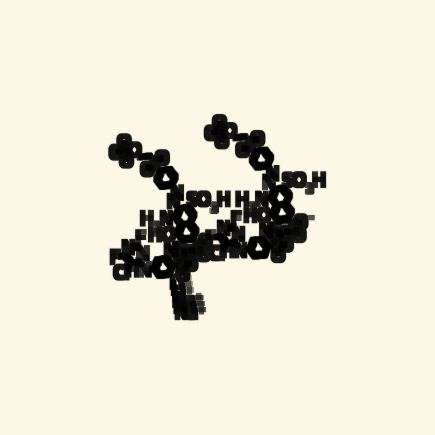 Nc1c(N=Nc2ccc(S(=O)(=O)CCOS(=O)(=O)[O-])cc2)c(S(=O)(=O)O)cc2cc(S(=O)(=O)[O-])c(N=Nc3cc(Nc4nc(F)nc(F)c4Cl)ccc3S(=O)(=O)[O-])c(O)c12.Nc1c(N=Nc2ccc(S(=O)(=O)CCOS(=O)(=O)[O-])cc2)c(S(=O)(=O)O)cc2cc(S(=O)(=O)[O-])c(N=Nc3cc(Nc4nc(F)nc(F)c4Cl)ccc3S(=O)(=O)[O-])c(O)c12.[Li+].[Li+].[Li+].[Na+].[Na+].[Na+]